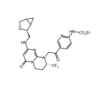 CCOC(=O)Nc1ccc(C(=O)CN2c3nc(NC[C@H]4OCC5CC54)cc(=O)n3CC[C@H]2C(F)(F)F)cn1